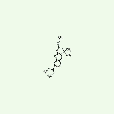 CCOC1=Cc2[o+]c3cc(N(CC)CC)ccc3cc2C(C)(C)C1